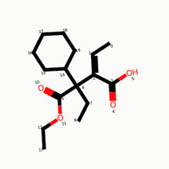 CC=C(C(=O)O)C(CC)(C(=O)OCC)C1CCCCC1